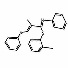 CC(=C\Sc1ccccc1)/C(=N/c1ccccc1)Sc1ccccc1C